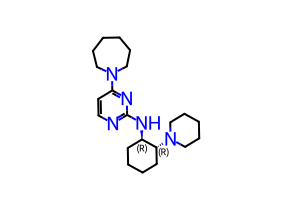 c1cc(N2CCCCCC2)nc(N[C@@H]2CCCC[C@H]2N2CCCCC2)n1